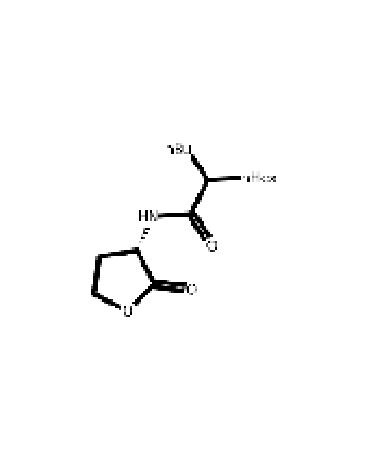 CCCCCCC(CCCC)C(=O)N[C@H]1CCOC1=O